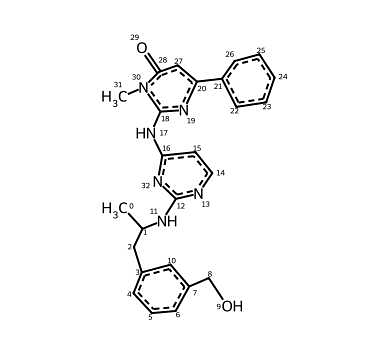 CC(Cc1cccc(CO)c1)Nc1nccc(Nc2nc(-c3ccccc3)cc(=O)n2C)n1